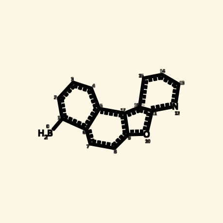 Bc1cccc2c1ccc1oc3ncccc3c12